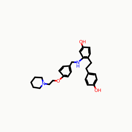 Oc1ccc(CCc2ccc(O)cc2NCc2ccc(OCCN3CCCCC3)cc2)cc1